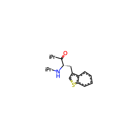 CC(C)N[C@@H](Cc1csc2ccccc12)C(=O)C(C)C